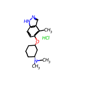 Cc1c(O[C@@H]2CCC[C@@H](N(C)C)C2)ccc2[nH]ncc12.Cl